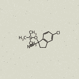 C[Si](C)(C)OC1(C#N)CCc2cc(Cl)ccc21